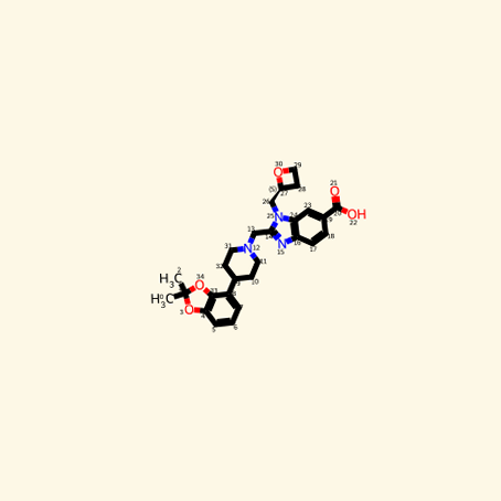 CC1(C)Oc2cccc(C3CCN(Cc4nc5ccc(C(=O)O)cc5n4C[C@@H]4CCO4)CC3)c2O1